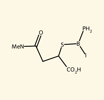 CNC(=O)CC(SB(P)I)C(=O)O